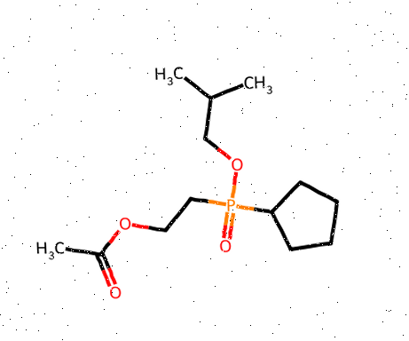 CC(=O)OCCP(=O)(OCC(C)C)C1CCCC1